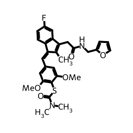 COc1cc(C=C2C(C)=C(CC(=O)NCc3ccco3)c3cc(F)ccc32)cc(OC)c1SC(=O)N(C)C